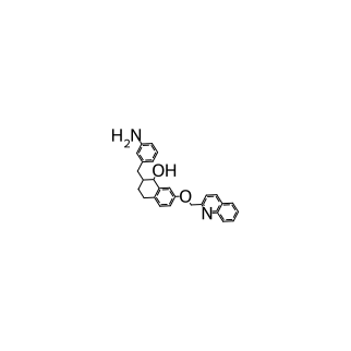 Nc1cccc(CC2CCc3ccc(OCc4ccc5ccccc5n4)cc3C2O)c1